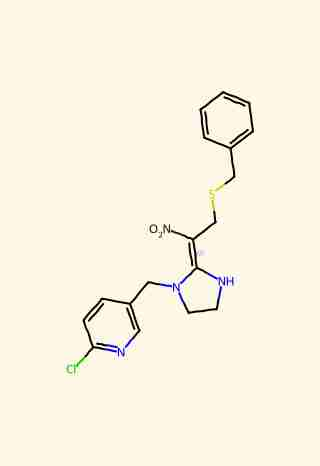 O=[N+]([O-])/C(CSCc1ccccc1)=C1/NCCN1Cc1ccc(Cl)nc1